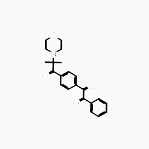 CC(C)(C(=O)c1ccc(C(=O)C(=O)c2ccccc2)cc1)N1CCOCC1